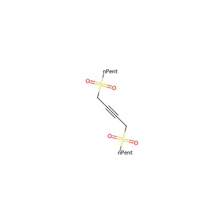 CCCCCS(=O)(=O)CC#CCS(=O)(=O)CCCCC